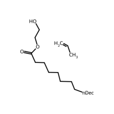 C=CC.CCCCCCCCCCCCCCCCCC(=O)OCCO